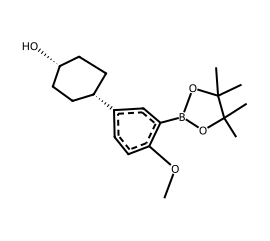 COc1ccc([C@H]2CC[C@@H](O)CC2)cc1B1OC(C)(C)C(C)(C)O1